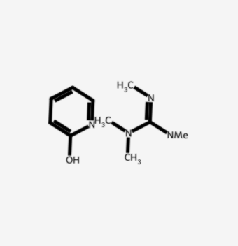 CN=C(NC)N(C)C.Oc1ccccn1